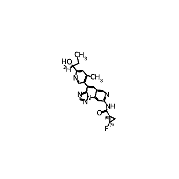 [2H]C(O)(CC)c1cc(C)c(-c2cc3cnc(NC(=O)[C@H]4C[C@H]4F)cc3n3ncnc23)cn1